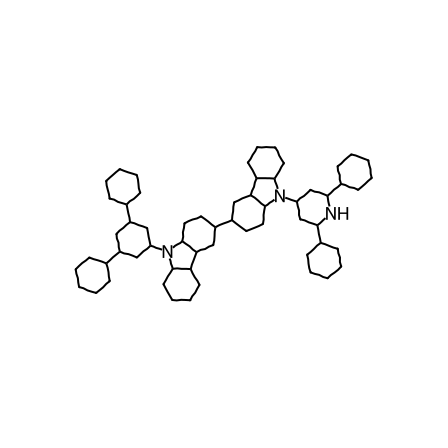 C1CCC(C2CC(C3CCCCC3)CC(N3C4CCCCC4C4CC(C5CCC6C(C5)C5CCCCC5N6C5CC(C6CCCCC6)NC(C6CCCCC6)C5)CCC43)C2)CC1